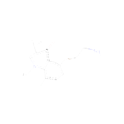 CCOC(=O)c1cn(CC)c2c(F)ccc(SCCN)c2c1=O